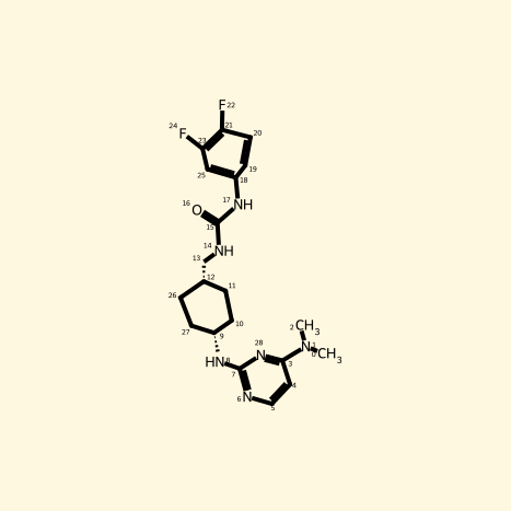 CN(C)c1ccnc(N[C@H]2CC[C@@H](CNC(=O)Nc3ccc(F)c(F)c3)CC2)n1